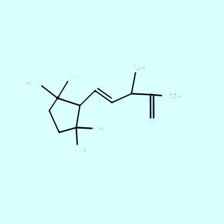 COC(=O)C(N)/C=C/C1C(C)(C)CCC1(C)C